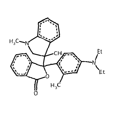 CCN(CC)c1ccc(C2(C3(C)CN(C)c4ccccc43)OC(=O)c3ccccc32)c(C)c1